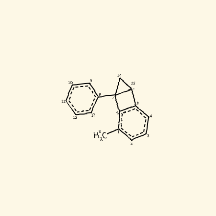 Cc1cccc2c1C1(c3ccccc3)C[C]21